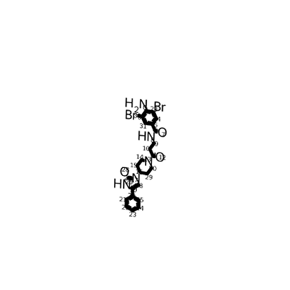 Nc1c(Br)cc(C(=O)NCCC(=O)N2CCC(n3cc(-c4ccccc4)[nH]c3=O)CC2)cc1Br